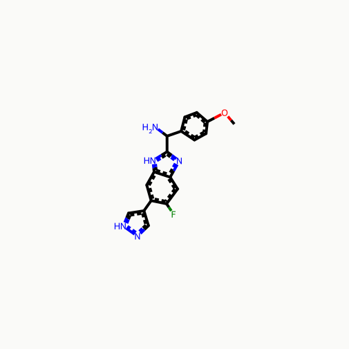 COc1ccc(C(N)c2nc3cc(F)c(-c4cn[nH]c4)cc3[nH]2)cc1